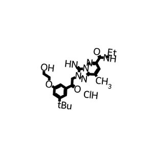 CCNC(=O)c1cc(C)c2nn(CC(=O)c3cc(OCCO)cc(C(C)(C)C)c3)c(=N)n2n1.Cl